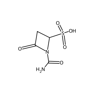 NC(=O)N1C(=O)CC1S(=O)(=O)O